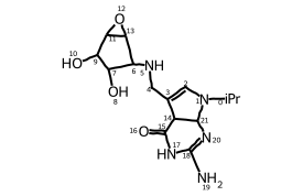 CC(C)N1C=C(CNC2C(O)C(O)C3OC23)C2C(=O)NC(N)=NC21